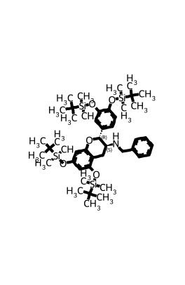 CC(C)(C)[Si](C)(C)Oc1cc2c(c(O[Si](C)(C)C(C)(C)C)c1)C[C@H](NCc1ccccc1)[C@@H](c1ccc(O[Si](C)(C)C(C)(C)C)c(O[Si](C)(C)C(C)(C)C)c1)O2